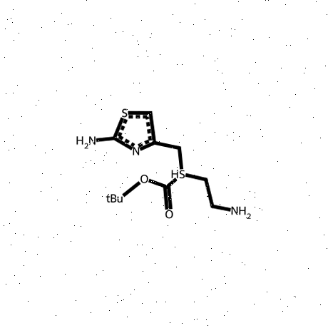 CC(C)(C)OC(=O)[SH](CCN)Cc1csc(N)n1